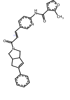 Cc1occc1C(=O)Nc1ccc(/C=C/C(=O)N2CC3C=C(c4ccccc4)CC3C2)cn1